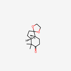 CC1(C)C(=O)CC[C@]2(C)[C@H]1CCC21OCCO1